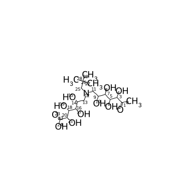 CC(=O)C(O)C(O)C(O)C(O)CN(CC(O)C(O)C(O)C(O)C(=O)O)CC(C)(C)C